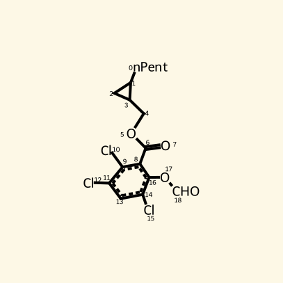 CCCCCC1CC1COC(=O)c1c(Cl)c(Cl)cc(Cl)c1OC=O